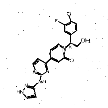 O=c1cc(-c2ccnc(Nc3cc[nH]n3)n2)ccn1[C@H](CO)c1ccc(Cl)c(F)c1